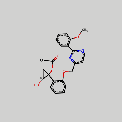 COc1ccccc1-c1nccc(COc2ccccc2C2(OC(C)=O)C[C@H]2O)n1